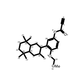 C#CC(=O)Oc1ccc(OCOC)c(C2CC3C(CC2C)C(C)(C)CCC3(C)C)c1